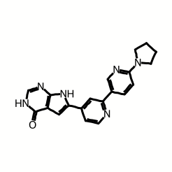 O=c1[nH]cnc2[nH]c(-c3ccnc(-c4ccc(N5CCCC5)nc4)c3)cc12